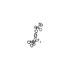 O=C(c1ccc(N2CCN(CCCCC3(C(=O)NCC(F)(F)F)c4ccccc4-c4ccccc43)CC2)cc1)N(Cc1ccccn1)C1CCCCC1